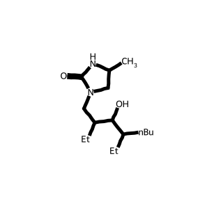 CCCCC(CC)C(O)C(CC)CN1CC(C)NC1=O